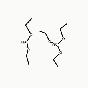 CCO[SiH](OCC)OCC.CC[O][AlH][O]CC